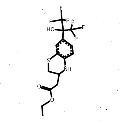 CCOC(=O)CC1CSc2cc(C(O)(C(F)(F)F)C(F)(F)F)ccc2N1